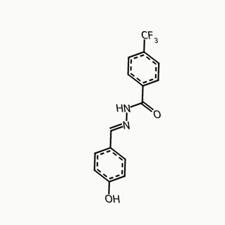 O=C(NN=Cc1ccc(O)cc1)c1ccc(C(F)(F)F)cc1